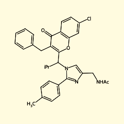 CC(=O)NCc1cn(C(c2oc3cc(Cl)ccc3c(=O)c2Cc2ccccc2)C(C)C)c(-c2ccc(C)cc2)n1